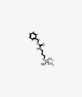 CC(C)(C)[Si](C)(C)OCCCNC(=O)OCc1ccccc1